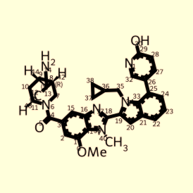 COc1cc(C(=O)N2C[C@H]3CC[C@@H]2C[C@@H]3N)cc2nc(-c3cc4cccc(-c5ccc(O)nc5)c4n3CC3CC3)n(C)c12